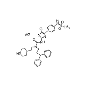 CS(=O)(=O)Nc1ccc(-c2nc(NC(=O)N(CCC3CCNCC3)CCC(c3ccccc3)c3ccccc3)sc2Cl)cc1.Cl